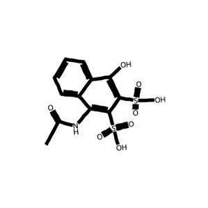 CC(=O)Nc1c(S(=O)(=O)O)c(S(=O)(=O)O)c(O)c2ccccc12